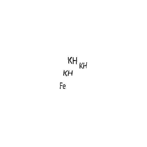 [Fe].[KH].[KH].[KH]